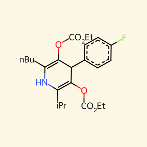 CCCCC1=C(OC(=O)OCC)C(c2ccc(F)cc2)C(OC(=O)OCC)=C(C(C)C)N1